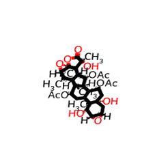 CC(=O)O[C@H]1[C@@H]2[C@H]([C@H](C)[C@H]3O[C@]34OC(=O)[C@@](C)(O)[C@]24C)[C@@]2(C)[C@@H](OC(C)=O)CC3C([C@@H](OC(C)=O)C[C@@]4(O)C[C@@H]5O[C@@H]5[C@H](O)[C@]34C)[C@H]12